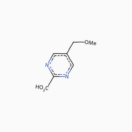 COCc1cnc(C(=O)O)nc1